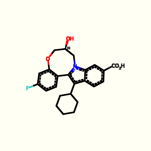 O=C(O)c1ccc2c(C3CCCCC3)c3n(c2c1)C[C@H](O)COc1cc(F)ccc1-3